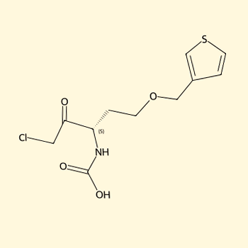 O=C(O)N[C@@H](CCOCc1ccsc1)C(=O)CCl